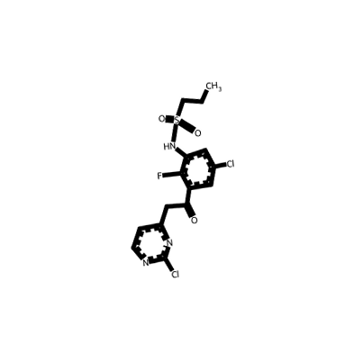 CCCS(=O)(=O)Nc1cc(Cl)cc(C(=O)Cc2ccnc(Cl)n2)c1F